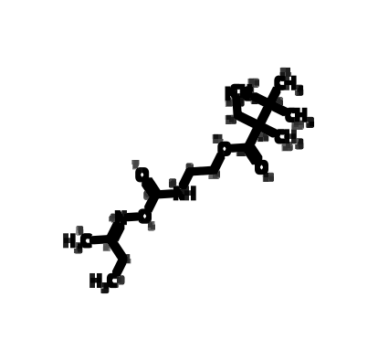 CC/C(C)=N\OC(=O)NCCOC(=O)C(C)(CC)C(C)(C)C